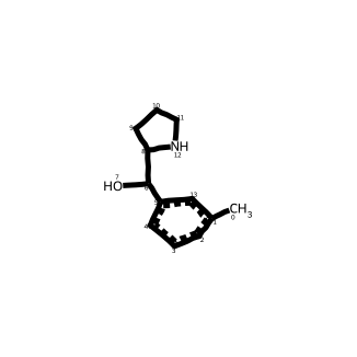 Cc1cccc(C(O)C2CCCN2)c1